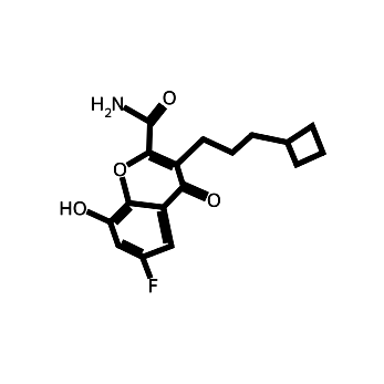 NC(=O)c1oc2c(O)cc(F)cc2c(=O)c1CCCC1CCC1